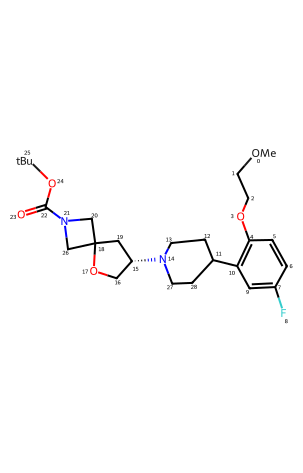 COCCOc1ccc(F)cc1C1CCN([C@@H]2COC3(C2)CN(C(=O)OC(C)(C)C)C3)CC1